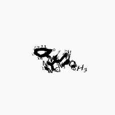 COc1cnc(-c2cn(-c3ccccc3)c3ncnc(Cl)c23)cn1